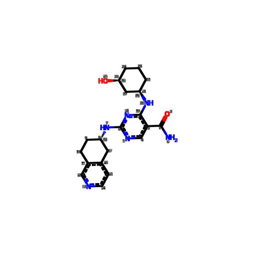 NC(=O)c1cnc(N[C@H]2CCc3cnccc3C2)nc1N[C@@H]1CCC[C@H](O)C1